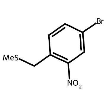 CSCc1ccc(Br)cc1[N+](=O)[O-]